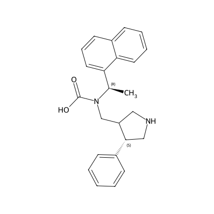 C[C@H](c1cccc2ccccc12)N(CC1CNC[C@@H]1c1ccccc1)C(=O)O